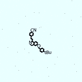 CC(C)(C)c1ccc(COc2ccc3c(c2)CCN=C3/C=C/c2ccc(C#N)cc2)cc1